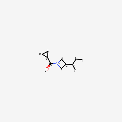 CCC(C)C1CN(C(=O)C2CC2)C1